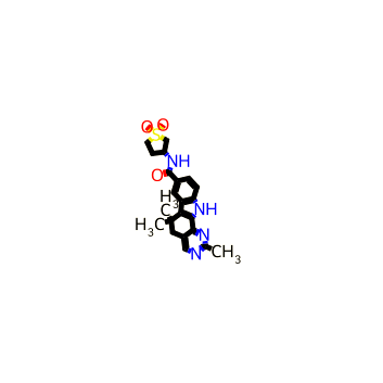 Cc1ncc2c(n1)-c1[nH]c3ccc(C(=O)NC4CCS(=O)(=O)C4)cc3c1C(C)(C)C2